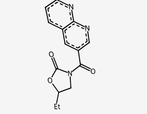 CCC1CN(C(=O)c2cnc3ncccc3c2)C(=O)O1